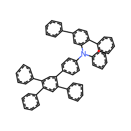 c1ccc(-c2ccc(-c3ccccc3)c(N(c3ccccc3)c3ccc(-c4cc(-c5ccccc5)c(-c5ccccc5)cc4-c4ccccc4)cc3)c2)cc1